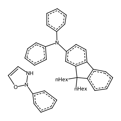 C1=CON(c2ccccc2)N1.CCCCCCC1(CCCCCC)c2ccccc2-c2ccc(N(c3ccccc3)c3ccccc3)cc21